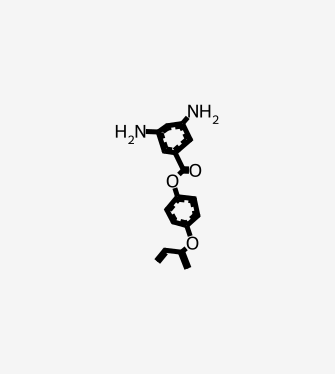 C=CC(=C)Oc1ccc(OC(=O)c2cc(N)cc(N)c2)cc1